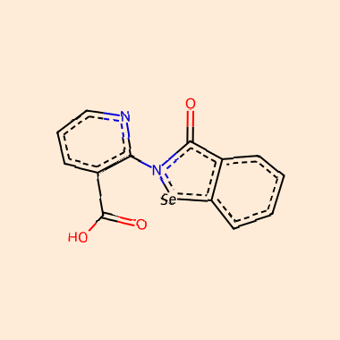 O=C(O)c1cccnc1-n1[se]c2ccccc2c1=O